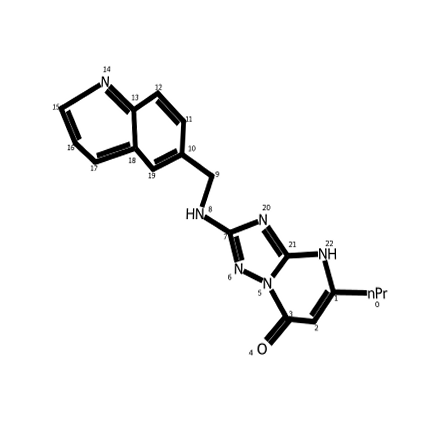 CCCc1cc(=O)n2nc(NCc3ccc4ncccc4c3)nc2[nH]1